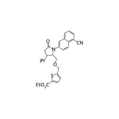 CCOC(=O)c1ccc(COCC2C(C(C)C)CC(=O)N2c2ccc3c(C#N)cccc3c2)s1